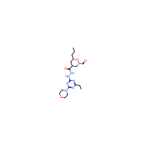 CCCCCC(CN(O)C=O)C(=O)NNc1nc(CC)nc(N2CCOCC2)n1